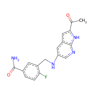 CC(=O)c1cc2cc(NCc3cc(C(N)=O)ccc3F)cnc2[nH]1